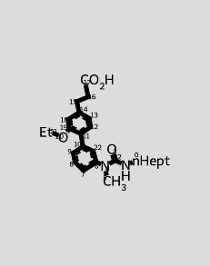 CCCCCCCNC(=O)N(C)c1cccc(-c2ccc(CCC(=O)O)cc2OCC)c1